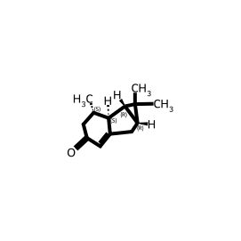 C[C@H]1CC(=O)C=C2C[C@@H]3[C@H]([C@@H]21)C3(C)C